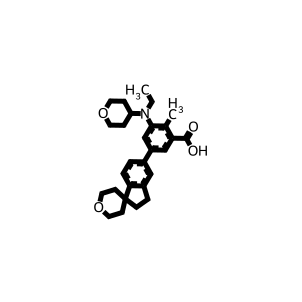 CCN(c1cc(-c2ccc3c(c2)CCC32CCOCC2)cc(C(=O)O)c1C)C1CCOCC1